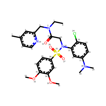 CCN(Cc1cc(C)ccn1)C(=O)CN(c1cc(N(C)C)ccc1Cl)S(=O)(=O)c1ccc(OC)c(OC)c1